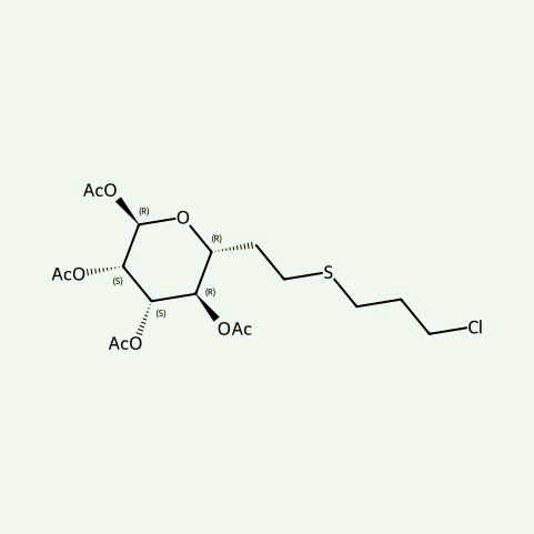 CC(=O)O[C@H]1O[C@H](CCSCCCCl)[C@@H](OC(C)=O)[C@H](OC(C)=O)[C@@H]1OC(C)=O